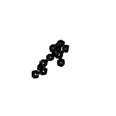 c1ccc(-c2cc(-c3ccccc3)cc(N(c3ccc(-c4ccc5oc6c(-c7ccccc7)cccc6c5c4)cc3)c3cccc4c3oc3ccccc34)c2)cc1